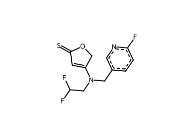 Fc1ccc(CN(CC(F)F)C2=CC(=S)OC2)cn1